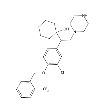 OC1(C(CN2CCNCC2)c2ccc(OCc3ccccc3C(F)(F)F)c(Cl)c2)CCCCC1